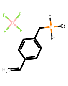 C=Cc1ccc(C[P+](CC)(CC)CC)cc1.F[B-](F)(F)F